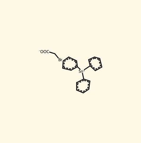 O=C([O-])CBr.c1cc[c]([Sn+]([c]2ccccc2)[c]2ccccc2)cc1